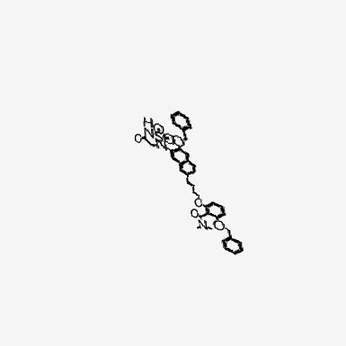 CN(C)C(=O)c1c(OCC/C=C/c2ccc3cc(OCc4ccccc4)c(N4CC(=O)NS4(=O)=O)cc3c2)cccc1OCc1ccccc1